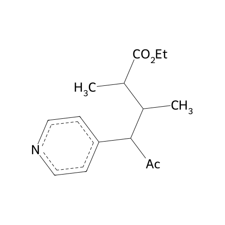 CCOC(=O)C(C)C(C)C(C(C)=O)c1ccncc1